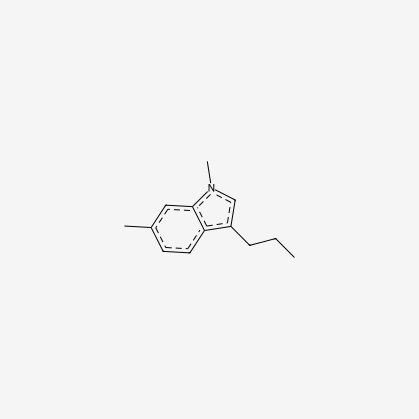 CCCc1cn(C)c2cc(C)ccc12